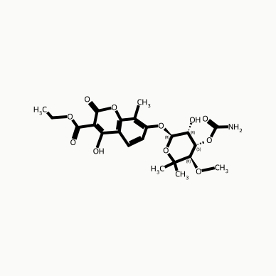 CCOC(=O)c1c(O)c2ccc(O[C@@H]3OC(C)(C)[C@H](OC)[C@@H](OC(N)=O)[C@H]3O)c(C)c2oc1=O